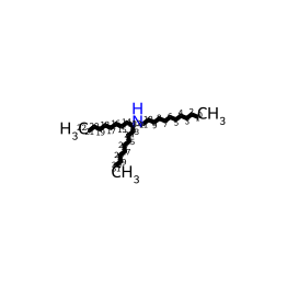 CCCCCCCCCCCCNC(CCCCCCCCC)CCCCCCCCC